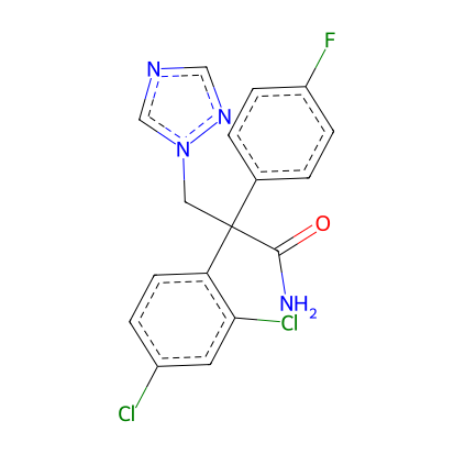 NC(=O)C(Cn1cncn1)(c1ccc(F)cc1)c1ccc(Cl)cc1Cl